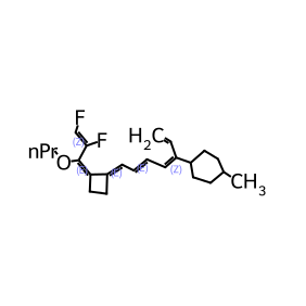 C=C\C(=C/C=C/C=C1\CC\C1=C(OCCC)\C(F)=C\F)C1CCC(C)CC1